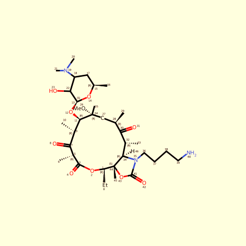 CC[C@H]1OC(=O)[C@H](C)C(=O)[C@H](C)[C@@H](O[C@@H]2O[C@H](C)CC(N(C)C)C2O)[C@](C)(OC)C[C@@H](C)C(=O)[C@H](C)[C@H]2N(CCCCN)C(=O)O[C@]12C